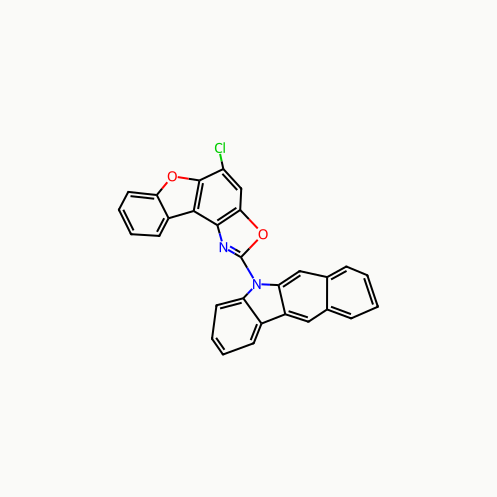 Clc1cc2oc(-n3c4ccccc4c4cc5ccccc5cc43)nc2c2c1oc1ccccc12